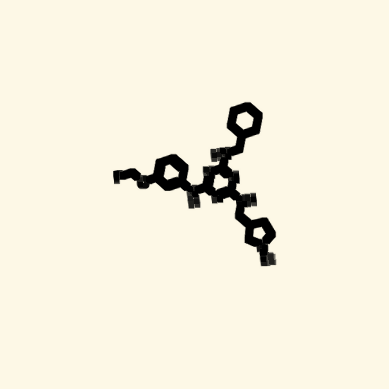 CCN1CCC(CNc2nc(NCC3CCCCC3)nc(Nc3cccc(OCF)c3)n2)C1